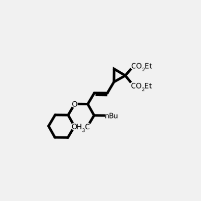 CCCCC(C)C(/C=C/C1CC1(C(=O)OCC)C(=O)OCC)OC1CCCCO1